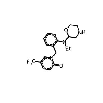 CCN(c1ccccc1Cn1cc(C(F)(F)F)ccc1=O)C1CNCCO1